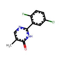 Cc1cnc(-c2cc(Cl)ccc2F)[nH]c1=O